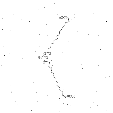 CCCCCCCC/C=C\CCCCCCCCCCCCCC(=O)OC(CC)OC(=O)CCCCCCCCCCCCC/C=C\CCCCCCCC